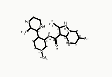 CC1NCCNC1C1CCN(C)CC1NC(=O)C1C(N)NN2CC(F)CNC12